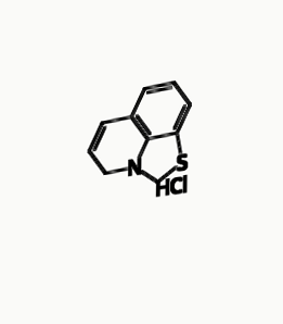 C1=Cc2cccc3c2N(C1)CS3.Cl